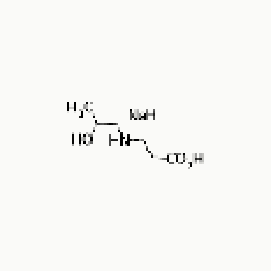 CC(O)CNCCC(=O)O.[NaH]